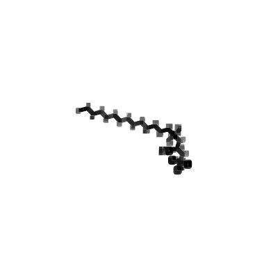 CCCCCCCCCCCCCC[N+](C)(C)CC(O)CS(=O)(=O)[O-]